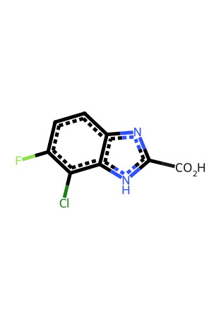 O=C(O)c1nc2ccc(F)c(Cl)c2[nH]1